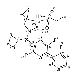 O=C(C1CCO1)N1CC2(CC2)[C@H](NS(=O)(=O)CF)[C@@H]1Cc1cc(F)cc(-c2ccccc2F)c1F